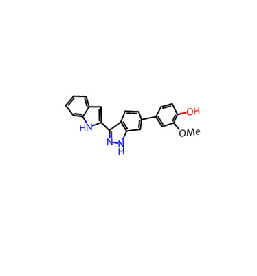 COc1cc(-c2ccc3c(-c4cc5ccccc5[nH]4)n[nH]c3c2)ccc1O